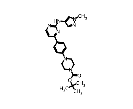 Cn1cc(Nc2nccc(-c3ccc(N4CCN(C(=O)OC(C)(C)C)CC4)cc3)n2)cn1